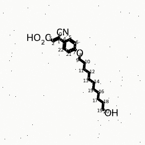 N#CC(=CC(=O)O)c1ccc(OCCCCCCCCCCCO)cc1